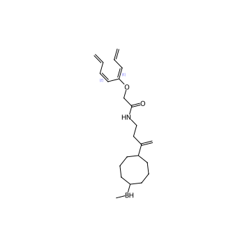 C=C/C=C\C(=C/C=C)OCC(=O)NCCC(=C)C1CCCC(BC)CCC1